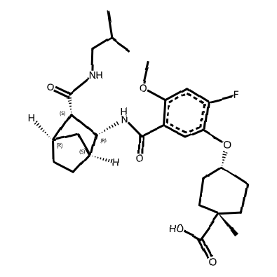 COc1cc(F)c(O[C@H]2CC[C@@](C)(C(=O)O)CC2)cc1C(=O)N[C@@H]1[C@H]2CC[C@H](C2)[C@@H]1C(=O)NCC(C)C